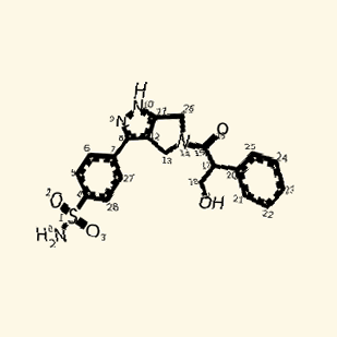 NS(=O)(=O)c1ccc(-c2n[nH]c3c2CN(C(=O)C(CO)c2ccccc2)C3)cc1